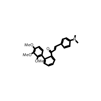 COc1ccc(-c2ccccc2C(=O)C=Cc2ccc(N(C)C)cc2)c(OC)c1OC